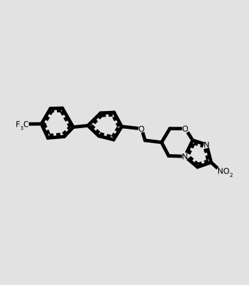 O=[N+]([O-])c1cn2c(n1)OCC(COc1ccc(-c3ccc(C(F)(F)F)cc3)cc1)C2